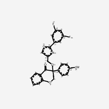 O=C1c2ccccc2OCC1(OCc1coc(-c2cc(F)cc(F)c2)n1)c1ccc(O)cc1